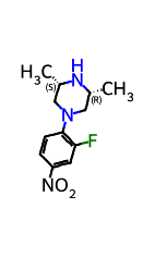 C[C@@H]1CN(c2ccc([N+](=O)[O-])cc2F)C[C@H](C)N1